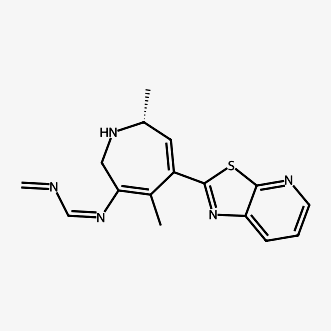 C=N/C=N\C1=C(C)C(c2nc3cccnc3s2)=C[C@@H](C)NC1